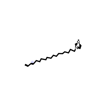 C=C/C=C/CCCCCCCCCCCCCC[n+]1ccn(C)c1